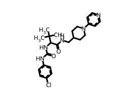 CC(C)(C)C(NC(=O)Nc1ccc(Cl)cc1)C(=O)NCC1CCN(c2ccncc2)CC1